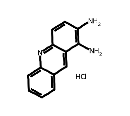 Cl.Nc1ccc2nc3ccccc3cc2c1N